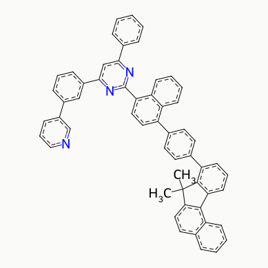 CC1(C)c2ccc3ccccc3c2-c2cccc(-c3ccc(-c4ccc(-c5nc(-c6ccccc6)cc(-c6cccc(-c7cccnc7)c6)n5)c5ccccc45)cc3)c21